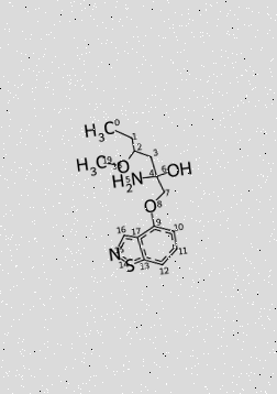 CCC(CC(N)(O)COc1cccc2sncc12)OC